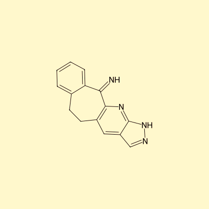 N=C1c2ccccc2CCc2cc3cn[nH]c3nc21